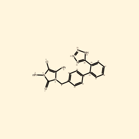 CCCc1c(Cl)n(CCC)c(=O)n1Cc1ccc(-c2ccccc2-c2nnn[nH]2)cc1